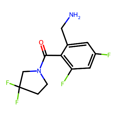 NCc1cc(F)cc(F)c1C(=O)N1CCC(F)(F)C1